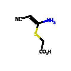 N#C/C=C(/N)SCC(=O)O